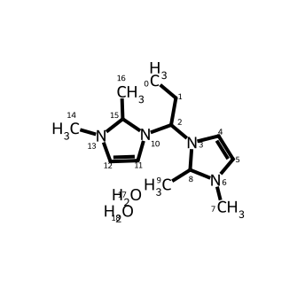 CCC(N1C=CN(C)C1C)N1C=CN(C)C1C.O.O